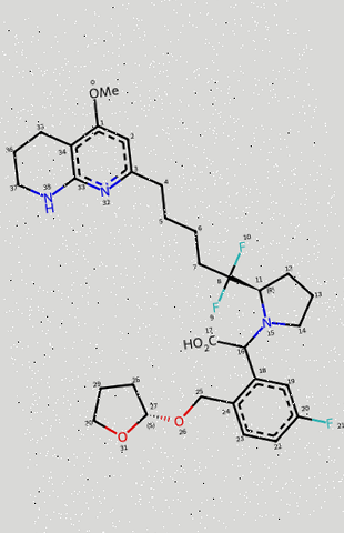 COc1cc(CCCCC(F)(F)[C@H]2CCCN2C(C(=O)O)c2cc(F)ccc2CO[C@H]2CCCO2)nc2c1CCCN2